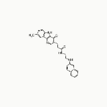 Cc1ccc2[nH]c3c(=O)n(CCC(=O)NCCNc4ccc5ccccc5c4)cnc3c2c1